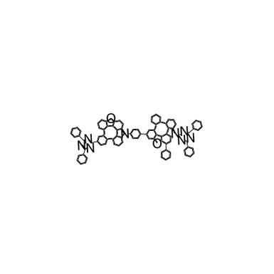 c1ccc(-c2nc(-c3ccccc3)nc(-c3ccc4c(c3)c3cccc5oc6ccc7c(c6c53)c3c4cccc3n7-c3ccc(-c4cc5oc6c(-c7ccccc7)cc7c8c6c5c(c4)c4ccccc4c4cccc(c48)n7-c4nc(-c5ccccc5)nc(-c5ccccc5)n4)cc3)n2)cc1